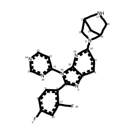 Fc1ccc(-c2nc3ccc(N4CC5CC4CN5)nc3n2-c2ccncn2)c(F)c1